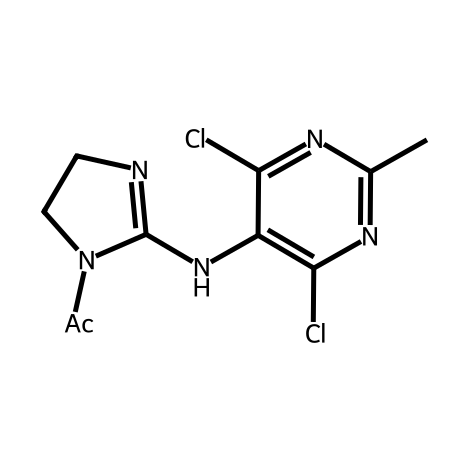 CC(=O)N1CCN=C1Nc1c(Cl)nc(C)nc1Cl